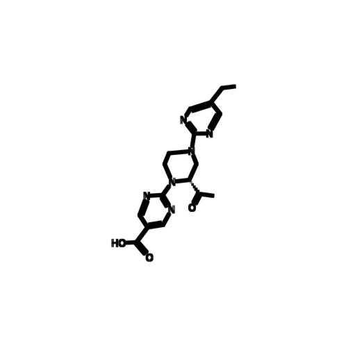 CCc1cnc(N2CCN(c3ncc(C(=O)O)cn3)[C@@H](C(C)=O)C2)nc1